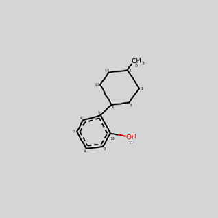 CC1CCC(c2ccccc2O)CC1